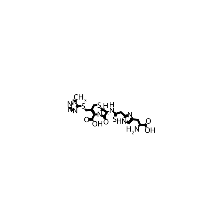 Cn1nnnc1SCC1=C(C(=O)O)N2C(=O)[C@@H](NC(=S)Cc3nc(CC(N)C(=O)O)c[nH]3)[C@@H]2SC1